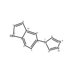 [c]1c[nH]c2ccc(-n3cnnc3)cc12